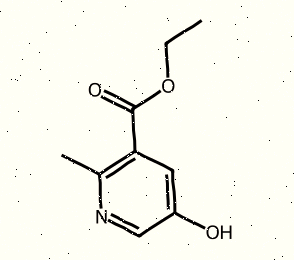 CCOC(=O)c1cc(O)cnc1C